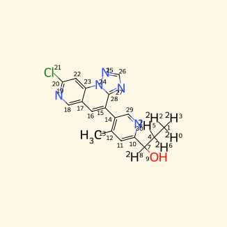 [2H]C([2H])([2H])C([2H])([2H])C([2H])(O)c1cc(C)c(-c2cc3cnc(Cl)cc3n3ncnc23)cn1